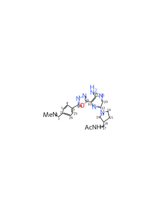 CNCc1ccc(-c2nnc(-c3nc(N4CC[C@@H](CNC(C)=O)C4)cnc3N)o2)cc1